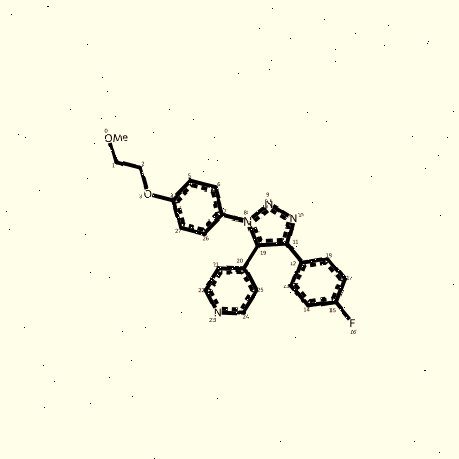 COCCOc1ccc(-n2nnc(-c3ccc(F)cc3)c2-c2ccncc2)cc1